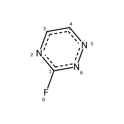 Fc1nc[c]nn1